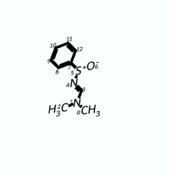 CN(C)/C=N/[S+]([O-])c1ccccc1